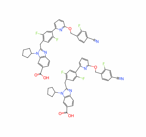 N#Cc1ccc(COc2cccc(-c3cc(F)c(Cc4nc5ccc(C(=O)O)cc5n4C4CCCC4)cc3F)n2)c(F)c1.N#Cc1ccc(COc2cccc(-c3cc(F)c(Cc4nc5ccc(C(=O)O)cc5n4C4CCCC4)cc3F)n2)c(F)c1